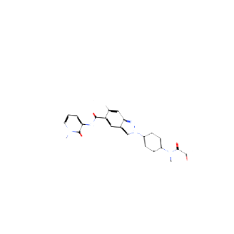 COc1cc2nn(C3CCC(N(C)C(=O)[C@@H](C)O)CC3)cc2cc1C(=O)Nc1cccn(C)c1=O